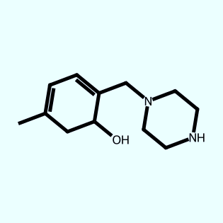 CC1=CC=C(CN2CCNCC2)C(O)C1